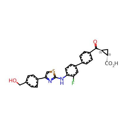 O=C(O)[C@H]1C[C@@H]1C(=O)c1ccc(-c2ccc(Nc3nc(-c4ccc(CO)cc4)cs3)c(F)c2)cc1